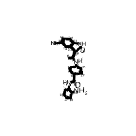 C/C(Nc1ccc(C(=O)Nc2ccccc2N)cc1)=C1/C(=O)Nc2ccc(C#N)cc21